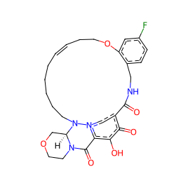 O=C1NCc2ccc(F)cc2OCC/C=C\CCCCCN2[C@@H]3COCCN3C(=O)c3c(O)c(=O)c1cn32